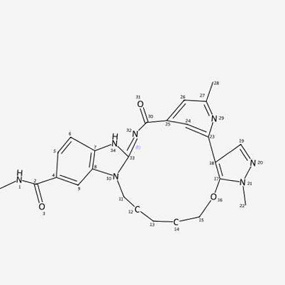 CNC(=O)c1ccc2c(c1)N1CCCCCOc3c(cnn3C)-c3cc(cc(C)n3)C(=O)/N=C/1N2